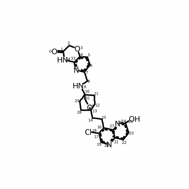 O=C1COc2ccc(CNC34CCC(CCc5c(Cl)cnc6ccc(O)nc56)(CC3)CC4)nc2N1